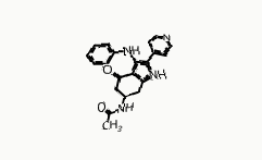 CC(=O)NC1CC(=O)c2c([nH]c(-c3ccncc3)c2Nc2ccccc2)C1